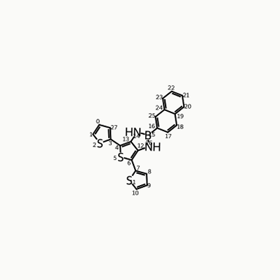 c1csc(-c2sc(-c3cccs3)c3c2NB(c2ccc4ccccc4c2)N3)c1